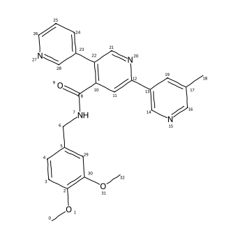 COc1ccc(CNC(=O)c2cc(-c3cncc(C)c3)ncc2-c2cccnc2)cc1OC